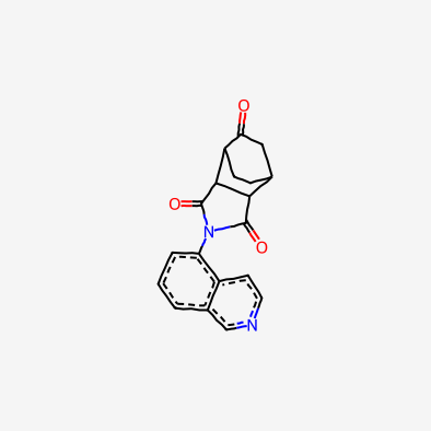 O=C1CC2CCC1C1C(=O)N(c3cccc4cnccc34)C(=O)C21